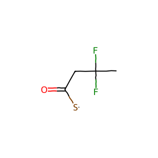 CC(F)(F)CC(=O)[S]